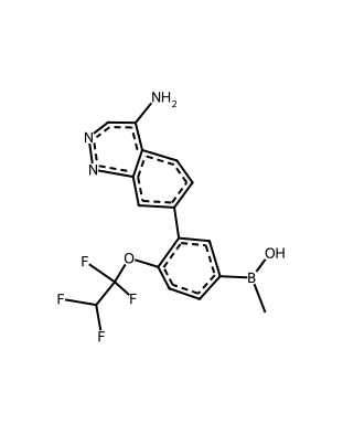 CB(O)c1ccc(OC(F)(F)C(F)F)c(-c2ccc3c(N)cnnc3c2)c1